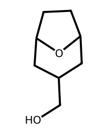 OCC1CC2CCC(C1)O2